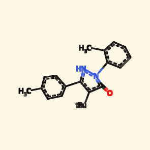 Cc1ccc(-c2[nH]n(-c3ccccc3C)c(=O)c2C(C)(C)C)cc1